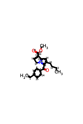 C=Cc1ccc(C(=O)c2c(CCCC)cc3n2CC=C3C(=O)OC)cc1